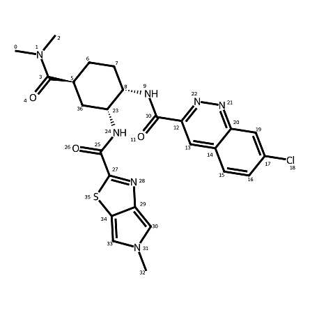 CN(C)C(=O)[C@H]1CC[C@H](NC(=O)c2cc3ccc(Cl)cc3nn2)[C@H](NC(=O)c2nc3cn(C)cc3s2)C1